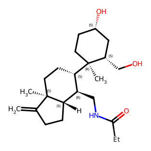 C=C1CC[C@H]2[C@H](CNC(=O)CC)[C@@H]([C@@]3(C)CC[C@H](O)C[C@@H]3CO)CC[C@]12C